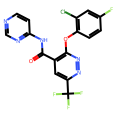 O=C(Nc1ccncn1)c1cc(C(F)(F)F)nnc1Oc1ccc(F)cc1Cl